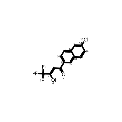 O=C(/C=C(\O)C(F)(F)F)c1ccc2cc(Cl)ccc2c1